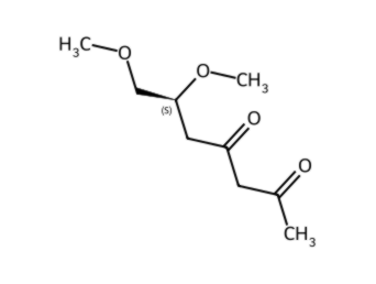 COC[C@H](CC(=O)CC(C)=O)OC